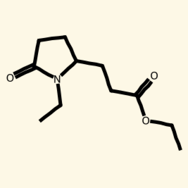 CCOC(=O)CCC1CCC(=O)N1CC